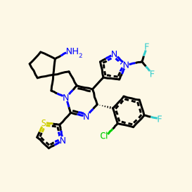 NC1CCCC12CC1=C(c3cnn(C(F)F)c3)[C@H](c3ccc(F)cc3Cl)N=C(c3nccs3)N1C2